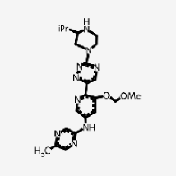 COCOc1cc(Nc2cnc(C)cn2)cnc1-c1cnc(N2CCNC(C(C)C)C2)nn1